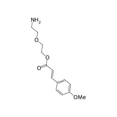 COc1ccc(/C=C/C(=O)OCCOCCN)cc1